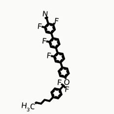 CCCCCc1ccc(C(F)(F)Oc2ccc(-c3ccc(-c4ccc(-c5cc(F)c(C#N)c(F)c5)c(F)c4)c(F)c3)cc2)cc1